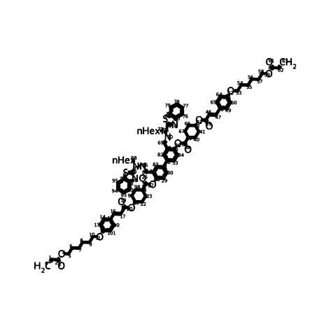 C=CC(=O)OCCCCCCOc1ccc(/C=C/C(=O)OC2CCC(C(=O)Oc3ccc(-c4ccc(OC(=O)C5CCC(OC(=O)/C=C/c6ccc(OCCCCCCOC(=O)C=C)cc6)CC5)c(/C=N/N(CCCCCC)c5nc6ccccc6s5)c4)cc3/C=N/N(CCCCCC)c3nc4ccccc4s3)CC2)cc1